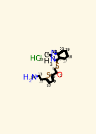 Cc1nc(SCC(=O)c2ccc(CCN)s2)c2ccccc2n1.Cl